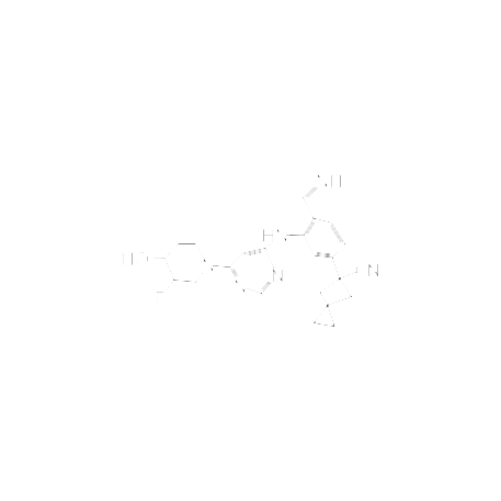 N#CC1(c2ccc(C=N)c(Nc3cc(N4CCC(O)C(F)C4)ncn3)c2)CC2(CC2)C1